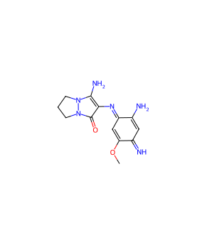 COC1=CC(=Nc2c(N)n3n(c2=O)CCC3)C(N)=CC1=N